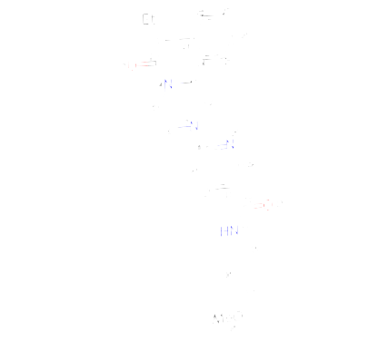 CCC(C(=O)N1CCN(c2ccc(C(=O)NCCCOC)cn2)CC1)c1ccccc1